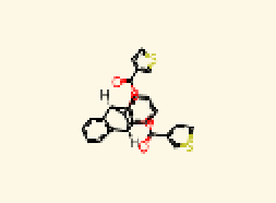 O=C(OC1C(OC(=O)c2ccsc2)[C@H]2c3ccccc3[C@H]1c1ccccc12)c1ccsc1